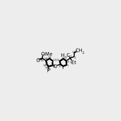 C=CCC(C)(CC)c1ccc(Oc2ccc(C(=O)OC)cc2F)cc1